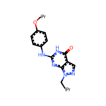 CC(C)Cn1ncc2c(=O)[nH]c(Nc3ccc(OC(C)C)cc3)nc21